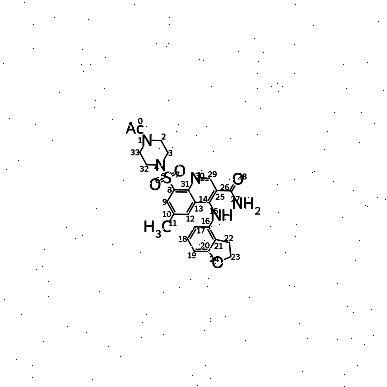 CC(=O)N1CCN(S(=O)(=O)c2cc(C)cc3c(Nc4cccc5c4CCO5)c(C(N)=O)cnc23)CC1